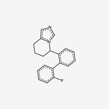 Fc1ccccc1-c1ccccc1C1CCCc2cncn21